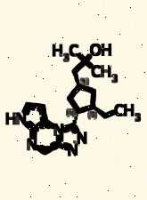 CC[C@@H]1C[C@H](CC(C)(C)O)C[C@H]1c1nnc2cnc3[nH]ccc3n12